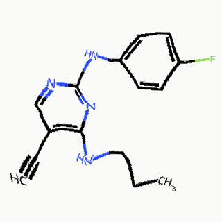 C#Cc1cnc(Nc2ccc(F)cc2)nc1NCCC